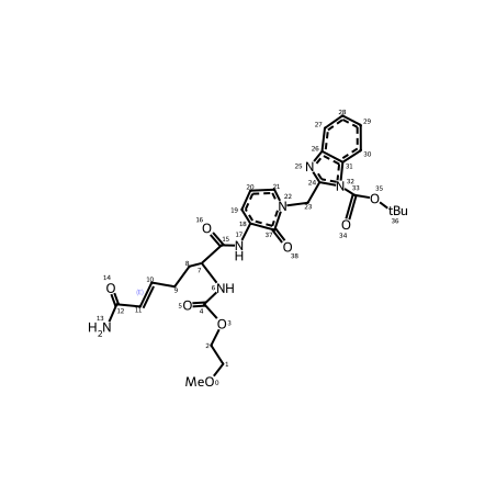 COCCOC(=O)NC(CC/C=C/C(N)=O)C(=O)Nc1cccn(Cc2nc3ccccc3n2C(=O)OC(C)(C)C)c1=O